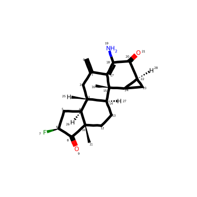 C=C1C[C@H]2[C@@H]3C[C@H](F)C(=O)[C@@]3(C)CC[C@@H]2[C@]2(C)C1=C(N)C(=O)[C@H]1CC12